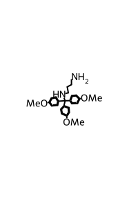 COc1ccc(C(NCCCCN)(c2ccc(OC)cc2)c2ccc(OC)cc2)cc1